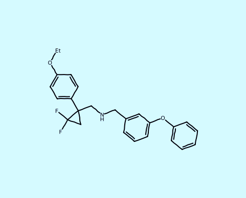 CCOc1ccc(C2(CNCc3cccc(Oc4ccccc4)c3)CC2(F)F)cc1